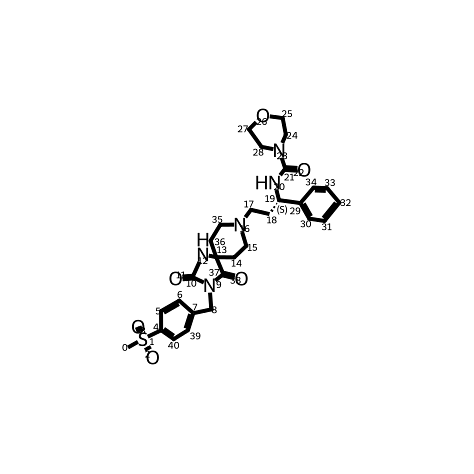 CS(=O)(=O)c1ccc(CN2C(=O)NC3(CCN(CC[C@H](NC(=O)N4CCOCC4)c4ccccc4)CC3)C2=O)cc1